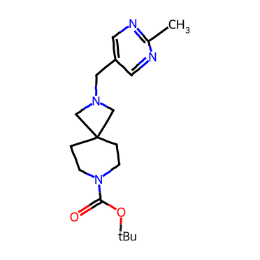 Cc1ncc(CN2CC3(CCN(C(=O)OC(C)(C)C)CC3)C2)cn1